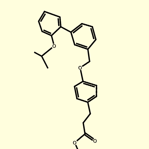 COC(=O)CCc1ccc(OCc2cccc(-c3ccccc3OC(C)C)c2)cc1